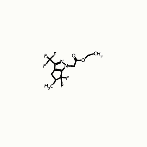 CCOC(=O)Cn1nc(C(F)(F)F)c2c1C(F)(F)C(C)C2